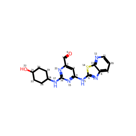 O=Cc1cc(Nc2nc3cccnc3s2)nc(NC2CCC(O)CC2)n1